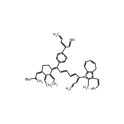 C=C/C=C(\C=N)c1ccc(C(/C=C/C=C/C(=C\C=C)n2c(C)c(/C=C\CCC)c3c2C=CC=CC3)=C2\CC/C(=C/C(=C)C(C)(C)C)C(=CC)\C2=C/C)cc1